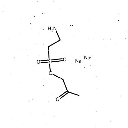 CC(=O)COS(=O)(=O)CCN.[Na].[Na]